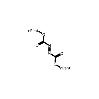 CCCCCOC(=O)/N=N/C(=O)OCCCCC